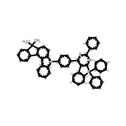 CC1(C)c2ccccc2-c2c1ccc1c2c2ccccc2n1-c1ccc(-c2nc(-c3ccccc3)nc3c2-c2ccccc2[Si]3(c2ccccc2)c2ccccc2)cc1